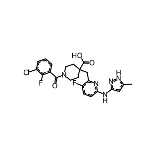 Cc1cc(Nc2ccc(F)c(CC3(C(=O)O)CCN(C(=O)c4cccc(Cl)c4F)CC3)n2)n[nH]1